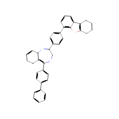 C1=CC2NC(c3ccc(-c4cccc5c6c(oc45)CCCC6)cc3)CNC(c3ccc(-c4ccccc4)cc3)=C2CC1